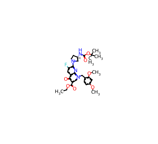 CCOC(=O)c1cn(Cc2ccc(OC)cc2OC)c2nc(N3CC[C@H](NC(=O)OC(C)(C)C)C3)c(F)cc2c1=O